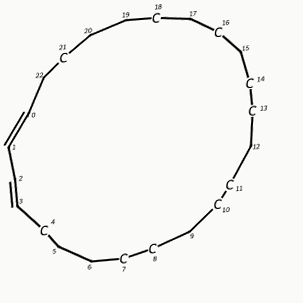 [C]1=C/C=C/CCCCCCCCCCCCCCCCCCC/1